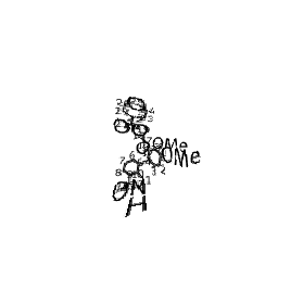 COc1ccc(-c2cccc3c2CNC3=O)c(OCCOC(=O)C2CCOCC2)c1OC